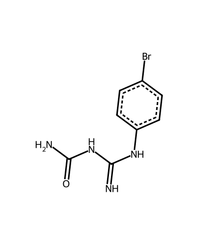 N=C(NC(N)=O)Nc1ccc(Br)cc1